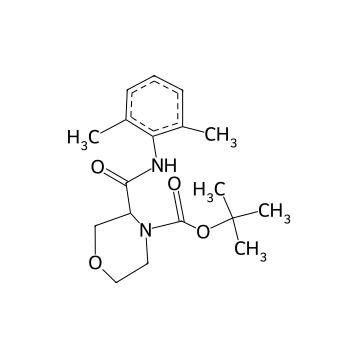 Cc1cccc(C)c1NC(=O)C1COCCN1C(=O)OC(C)(C)C